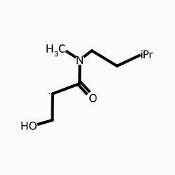 CC(C)CCN(C)C(=O)[CH]CO